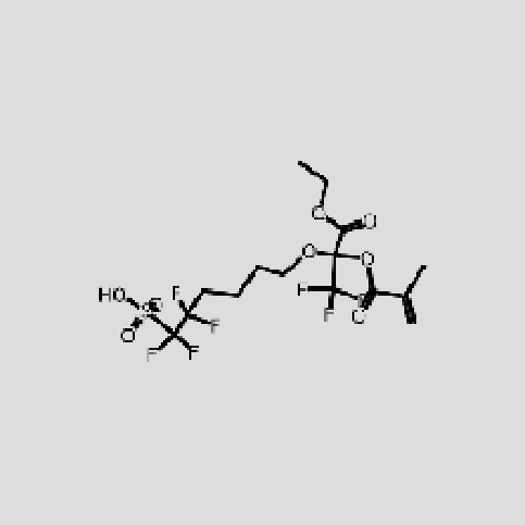 C=C(C)C(=O)OC(OCCCCC(F)(F)C(F)(F)S(=O)(=O)O)(C(=O)OCC)C(F)(F)F